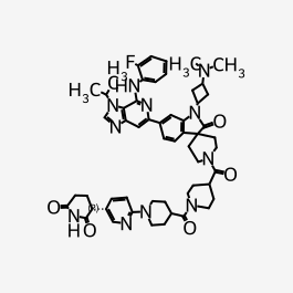 CC(C)n1cnc2cc(-c3ccc4c(c3)N(C3CC(N(C)C)C3)C(=O)C43CCN(C(=O)C4CCN(C(=O)C5CCN(c6ccc([C@H]7CCC(=O)NC7=O)cn6)CC5)CC4)CC3)nc(Nc3ccccc3F)c21